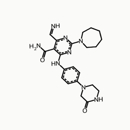 N=Cc1nc(N2CCCCCC2)nc(Nc2ccc(N3CCNC(=O)C3)cc2)c1C(N)=O